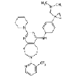 CN(C)CC1(c2ccc(Nc3nc(N4CCCCC4)nc4c3CCN(c3ncccc3C(F)(F)F)CC4)cc2)CC1